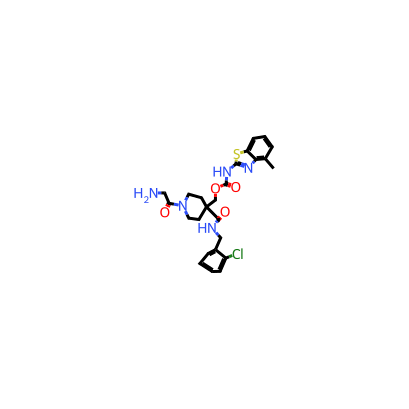 Cc1cccc2sc(NC(=O)OCC3(C(=O)NCc4ccccc4Cl)CCN(C(=O)CN)CC3)nc12